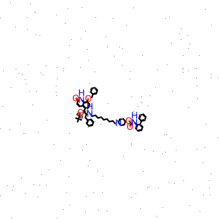 CC(C)(C)[Si](C)(C)O[C@H](c1ccc(OCc2ccccc2)c2[nH]c(=O)ccc12)C(Cc1ccccc1)NCCCCCCCCCN1CCC(OC(=O)Nc2ccccc2-c2ccccc2)CC1